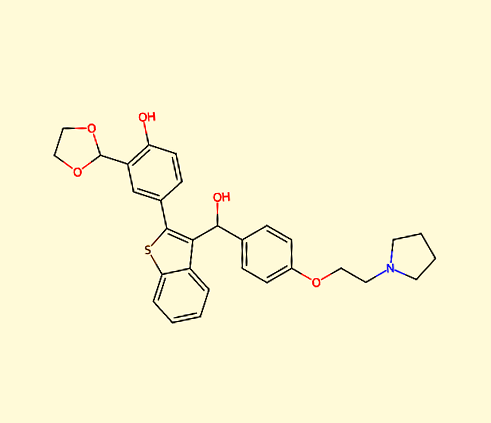 Oc1ccc(-c2sc3ccccc3c2C(O)c2ccc(OCCN3CCCC3)cc2)cc1C1OCCO1